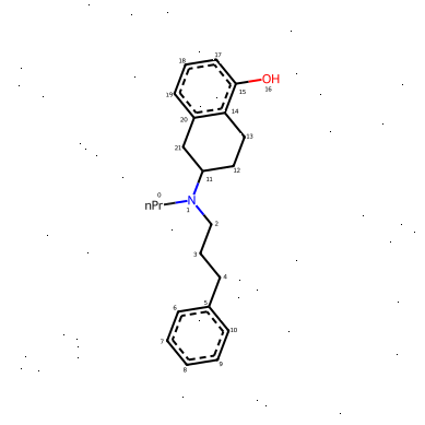 CCCN(CCCc1ccccc1)C1CCc2c(O)cccc2C1